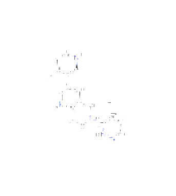 Cc1ccncc1-c1cnc2c(c1)CN(c1nnccc1C)CC2